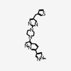 Cn1cc(-c2ccc3c(N4CCN(c5ncc(Cc6ccsc6)cn5)CC4)cnn3c2)cn1